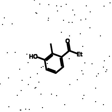 CCC(=O)c1cccc(O)c1C